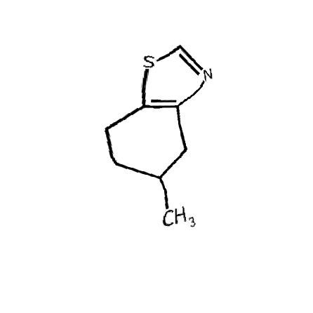 CC1CCc2scnc2C1